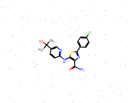 CC(C)(O)c1ccc(Nc2sc(-c3ccc(Cl)cc3)nc2C(N)=O)nc1